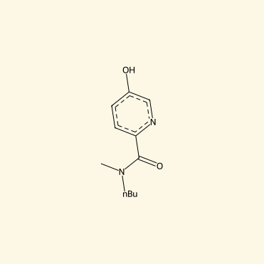 CCCCN(C)C(=O)c1ccc(O)cn1